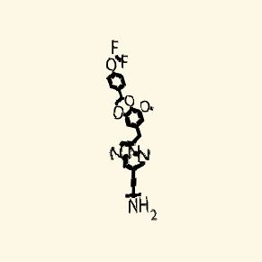 COc1cc(Cc2cnc3cc(C#CC(C)(C)N)cnn23)cc2c1OC(c1ccc(OC(F)F)cc1)CO2